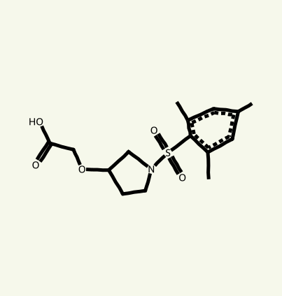 Cc1cc(C)c(S(=O)(=O)N2CCC(OCC(=O)O)C2)c(C)c1